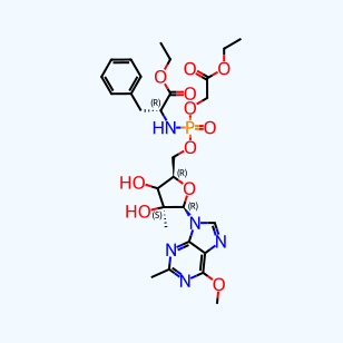 CCOC(=O)COP(=O)(N[C@H](Cc1ccccc1)C(=O)OCC)OC[C@H]1O[C@@H](n2cnc3c(OC)nc(C)nc32)[C@@](C)(O)C1O